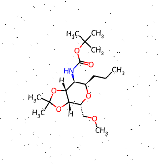 CCC[C@H]1O[C@H](COC)[C@@H]2OC(C)(C)O[C@@H]2[C@H]1NC(=O)OC(C)(C)C